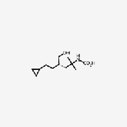 CC(C)(C[C@@H](CO)CCC1CC1)NC(=O)O